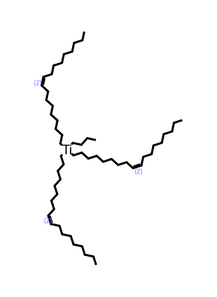 CCCCCCCC/C=C\CCCCCCC[CH2][Ti]([CH2]CCC)([CH2]CCCCCCC/C=C\CCCCCCCC)[CH2]CCCCCCC/C=C\CCCCCCCC